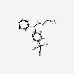 NCCOC(c1ccccc1)c1ccc(C(F)(F)F)cc1